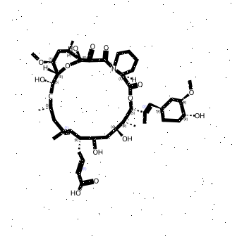 CO[C@H]1C[C@@H](C)[C@@]2(O)O[C@@H]1[C@@H](O)C[C@@H](C)C/C(C)=C/[C@@H](C/C=C/C(=O)O)C(O)C[C@H](O)[C@@H](C)[C@@H](/C(C)=C/[C@@H]1CC[C@@H](O)[C@H](OC)C1)OC(=O)[C@@H]1CCCCN1C(=O)C2=O